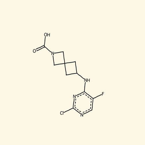 O=C(O)N1CC2(CC(Nc3nc(Cl)ncc3F)C2)C1